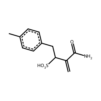 C=C(C(N)=O)C(Cc1ccc(C)cc1)S(=O)(=O)O